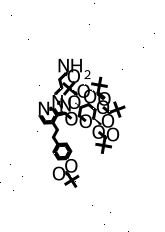 CC(C)(C)C(=O)OC[C@H]1O[C@@H](Oc2nn(CCCC(N)=O)c3nccc(CCc4ccc(OC(=O)C(C)(C)C)cc4)c23)[C@H](OC(=O)C(C)(C)C)[C@@H](OC(=O)C(C)(C)C)[C@@H]1OC(=O)C(C)(C)C